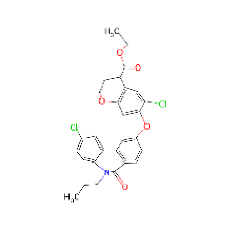 CCCN(C(=O)c1ccc(Oc2cc3c(cc2Cl)C(C(=O)OCC)CCO3)cc1)c1ccc(Cl)cc1